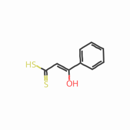 OC(=CC(=S)S)c1ccccc1